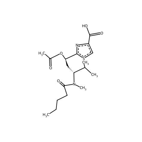 CCCCC(=O)N(C)[C@H](C[C@@H](OC(C)=O)c1nc(C(=O)O)cs1)C(C)C